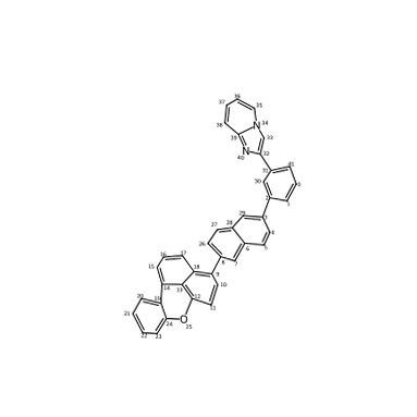 c1cc(-c2ccc3cc(-c4ccc5c6c(cccc46)-c4ccccc4O5)ccc3c2)cc(-c2cn3ccccc3n2)c1